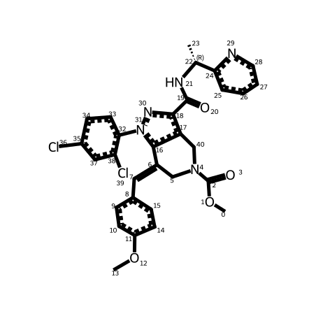 COC(=O)N1CC(=Cc2ccc(OC)cc2)c2c(c(C(=O)N[C@H](C)c3ccccn3)nn2-c2ccc(Cl)cc2Cl)C1